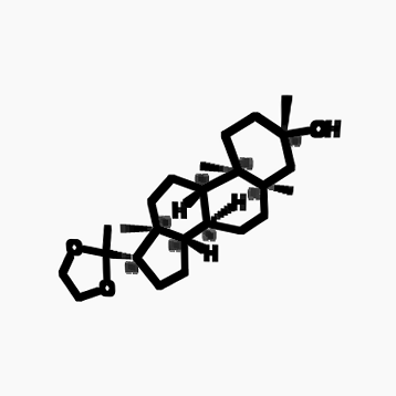 CC1([C@H]2CC[C@H]3[C@@H]4CC[C@]5(C)C[C@@](C)(O)CC[C@]5(C)[C@H]4CC[C@]23C)OCCO1